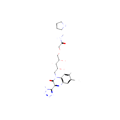 Cc1cc2nc(-c3nnnn3C)c(=O)n(C[C@H](O)[C@H](O)[C@H](O)COCC(=O)NC[C@@H]3CCCN3)c2cc1C